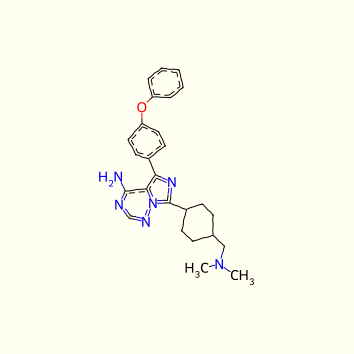 CN(C)CC1CCC(c2nc(-c3ccc(Oc4ccccc4)cc3)c3c(N)ncnn23)CC1